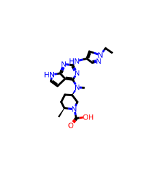 CCn1cc(Nc2nc(N(C)[C@@H]3CC[C@H](C)N(C(=O)O)C3)c3cc[nH]c3n2)cn1